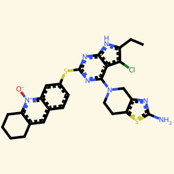 CCc1[nH]c2nc(Sc3ccc4cc5c([n+]([O-])c4c3)CCCC5)nc(N3CCc4sc(N)nc4C3)c2c1Cl